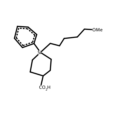 COCCCCC[Si]1(c2ccccc2)CCC(C(=O)O)CC1